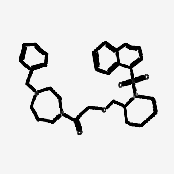 O=C(COCC1CCCCN1S(=O)(=O)c1cccc2ccccc12)N1CCCN(Cc2ccccc2)CC1